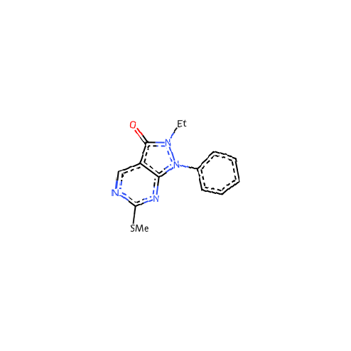 CCn1c(=O)c2cnc(SC)nc2n1-c1ccccc1